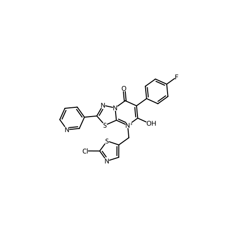 O=c1c(-c2ccc(F)cc2)c(O)[n+](Cc2cnc(Cl)s2)c2sc(-c3cccnc3)nn12